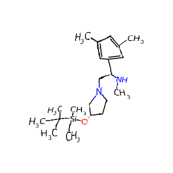 CN[C@@H](CN1CC[C@H](O[Si](C)(C)C(C)(C)C)C1)c1cc(C)cc(C)c1